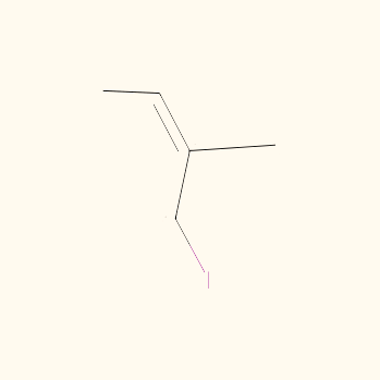 CC=C(C)CI